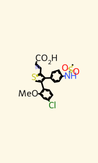 COc1cc(Cl)ccc1-c1csc(/C=C/C(=O)O)c1-c1ccc(NS(C)(=O)=O)cc1